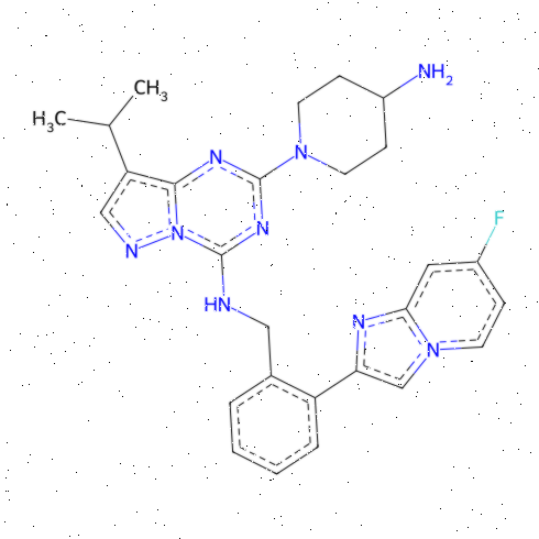 CC(C)c1cnn2c(NCc3ccccc3-c3cn4ccc(F)cc4n3)nc(N3CCC(N)CC3)nc12